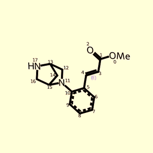 COC(=O)/C=C/c1ccccc1N1CC2CC1CN2